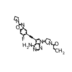 C=CC(=O)N1CC[C@H](n2cc(C#Cc3cc4nc(N5CCC5)oc4cc3F)c3c(N)ncnc32)C1